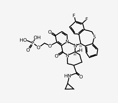 O=C(NC1CC1)C1CC[C@@H]2N(C1)C(=O)c1c(OCOP(=O)(O)O)c(=O)ccn1N2[C@@H]1c2ccccc2SCc2c1ccc(F)c2F